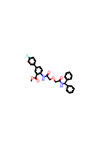 COC(=O)c1cc(-c2ccc(F)cc2)ccc1NC(=O)COCC(=O)NC(c1ccccc1)c1ccccc1